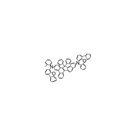 Cc1ccccc1N(c1ccc2c3c(ccc2c1)-c1c(c2ccc(N(c4ccccc4C)c4cccc5c4oc4ccccc45)cc2c2ccccc12)C3(c1ccccc1)c1ccccc1)c1cccc2c1oc1ccccc12